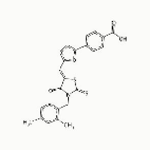 Cc1ccc(CN2C(=O)C(=Cc3ccc(-c4ccc(C(=O)O)cc4)o3)SC2=S)c(C)c1